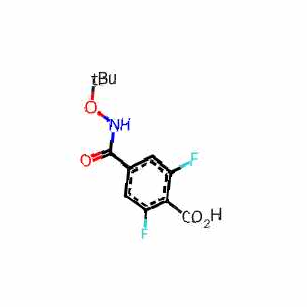 CC(C)(C)ONC(=O)c1cc(F)c(C(=O)O)c(F)c1